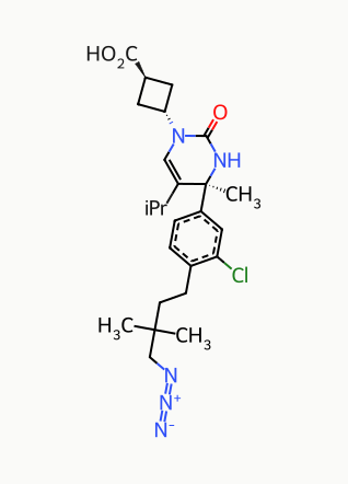 CC(C)C1=CN([C@H]2C[C@H](C(=O)O)C2)C(=O)N[C@@]1(C)c1ccc(CCC(C)(C)CN=[N+]=[N-])c(Cl)c1